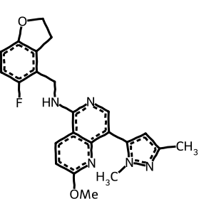 COc1ccc2c(NCc3c(F)ccc4c3CCO4)ncc(-c3cc(C)nn3C)c2n1